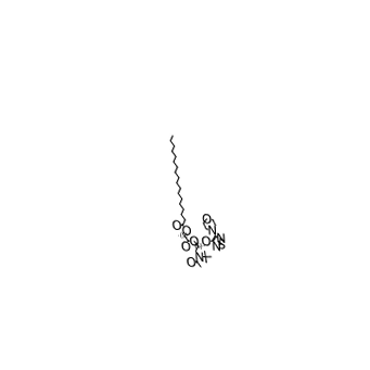 CCCCCCCCCCCCCCCCCC(=O)O[C@@H](C)C(=O)O[C@H](COc1nsnc1N1CCOCC1)CN(C(C)=O)C(C)(C)C